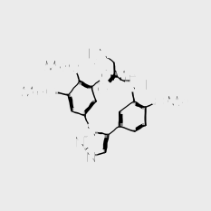 COc1ccc(-c2cnnn2-c2cc(OC)c(OC)c(OC)c2)cc1NC(=O)CN